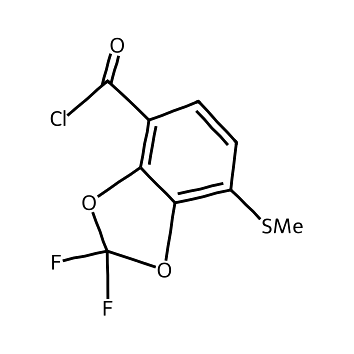 CSc1ccc(C(=O)Cl)c2c1OC(F)(F)O2